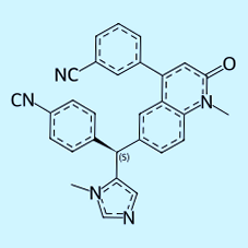 [C-]#[N+]c1ccc([C@@H](c2ccc3c(c2)c(-c2cccc(C#N)c2)cc(=O)n3C)c2cncn2C)cc1